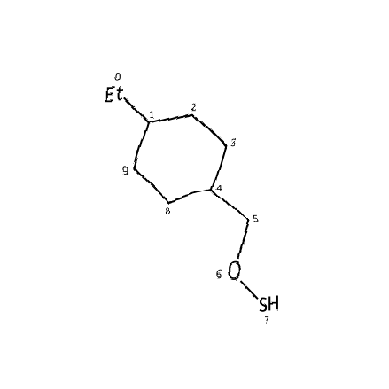 CCC1CCC(COS)CC1